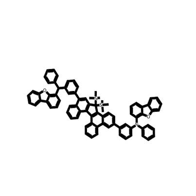 C[Si](C)(C)C1([Si](C)(C)C)c2cc(-c3cccc(C(c4ccccc4)c4cccc5c4oc4ccccc45)c3)c3ccccc3c2-c2c1c1ccc(-c3cccc(N(c4ccccc4)c4cccc5c4oc4ccccc45)c3)cc1c1ccccc21